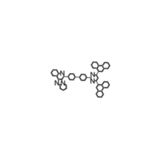 c1ccc2c(c1)cc(-c1cc(-c3cc4ccccc4c4ccccc34)nc(-c3ccc(-c4ccc(-c5nc6ccccc6c6nc7ccccn7c56)cc4)cc3)n1)c1ccccc12